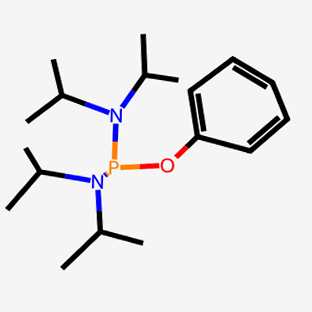 CC(C)N(C(C)C)P(Oc1ccccc1)N(C(C)C)C(C)C